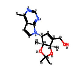 Cc1ncnc2c1ccn2[C@@H]1C=C(CO)[C@H]2OC(C)(C)O[C@H]21